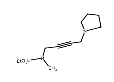 CCOC(=O)N(C)CC#CCN1CCCC1